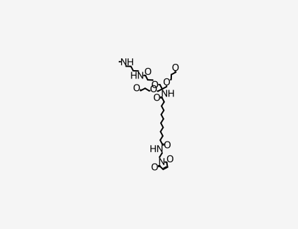 CNCCCCNC(=O)CCOCC(COCCC=O)(COCCC=O)NC(=O)CCCCCCCCCCC(=O)NCCN1C(=O)C=CC1=O